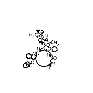 C=C[C@@H]1C[C@]1(NC(=O)[C@@H]1C[C@@H]2CN1C(=O)[C@H](C1CCCCC1)NC(=O)O[C@@H]1C[C@H]1CCCCCc1c(nc3ccccc3c1OC1CC3CCC(C1)N3)O2)C(=O)NS(=O)(=O)C1(C)CC1